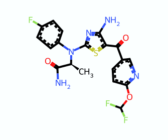 C[C@@H](C(N)=O)N(c1ccc(F)cc1)c1nc(N)c(C(=O)c2ccc(OC(F)F)nc2)s1